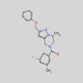 Cc1cc(F)cc(C(=O)N2Cc3cc(COc4ccccc4)nn3C(C)C2)c1